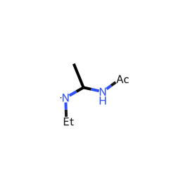 CC[N]C(C)NC(C)=O